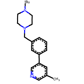 Cc1cncc(-c2cccc(CN3CCN(C(C)(C)C)CC3)c2)c1